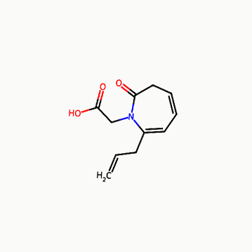 C=CCC1=CC=CCC(=O)N1CC(=O)O